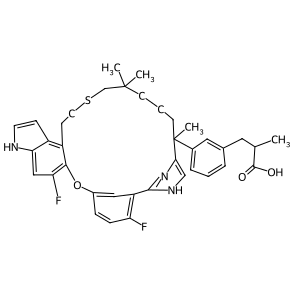 CC(Cc1cccc(C2(C)CCCC(C)(C)CSCCc3c(c(F)cc4[nH]ccc34)Oc3ccc(F)c(c3)-c3nc2c[nH]3)c1)C(=O)O